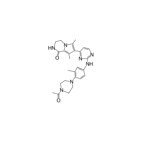 CC(=O)N1CCN(c2ccc(Nc3nccc(-c4c(C)c5n(c4C)CCNC5=O)n3)cc2C)CC1